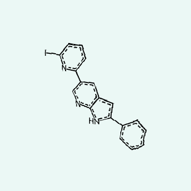 Ic1cccc(-c2cnc3[nH]c(-c4ccccc4)cc3c2)n1